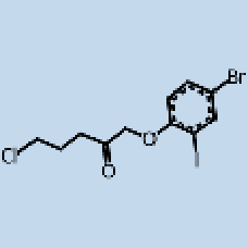 O=C(CCCCl)COc1ccc(Br)cc1I